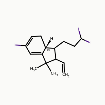 C=CC1C(CCC(I)I)[C@H]2CC=C(I)C=C2C1(C)C